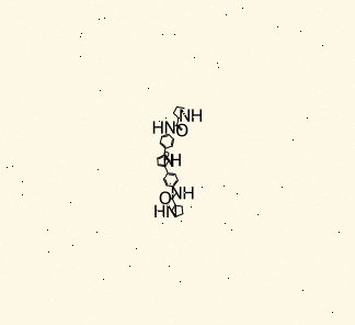 [2H]n1c(-c2ccc(NC(=O)C3CCCN3)cc2)ccc1-c1ccc(NC(=O)C2CCCN2)cc1